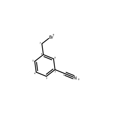 N#Cc1cc[c]c(CBr)c1